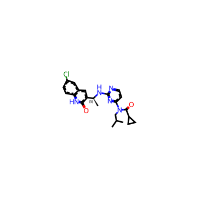 CC(C)CN(C(=O)C1CC1)c1ccnc(N[C@@H](C)c2cc3cc(Cl)ccc3[nH]c2=O)n1